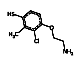 Cc1c(S)ccc(OCCN)c1Cl